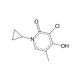 Cc1cn(C2CC2)c(=O)c(Cl)c1O